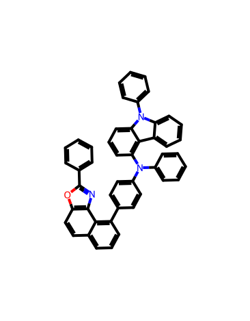 c1ccc(-c2nc3c(ccc4cccc(-c5ccc(N(c6ccccc6)c6cccc7c6c6ccccc6n7-c6ccccc6)cc5)c43)o2)cc1